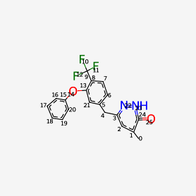 Cc1cc(Cc2ccc(C(F)(F)F)c(Oc3ccccc3)c2)n[nH]c1=O